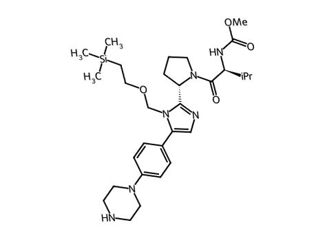 COC(=O)N[C@H](C(=O)N1CCC[C@H]1c1ncc(-c2ccc(N3CCNCC3)cc2)n1COCC[Si](C)(C)C)C(C)C